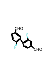 O=Cc1ccc(-c2cc(C=O)ccc2F)c(F)c1